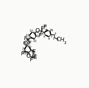 CCCc1ccc(C(F)(F)Oc2ccc(C(F)(F)Oc3cc(F)c(OC(F)(F)F)c(F)c3)cc2)c(F)c1